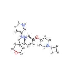 c1cncc(NCC2(c3ccc(OC4CCN(C5CCC5)CC4)cc3)CCOCC2)c1